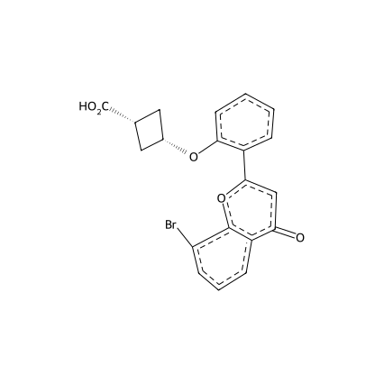 O=c1cc(-c2ccccc2O[C@H]2C[C@@H](C(=O)O)C2)oc2c(Br)cccc12